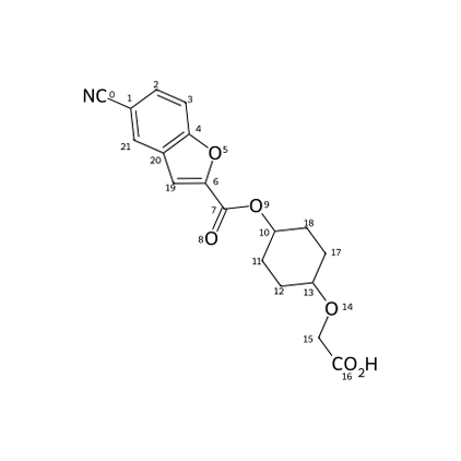 N#Cc1ccc2oc(C(=O)OC3CCC(OCC(=O)O)CC3)cc2c1